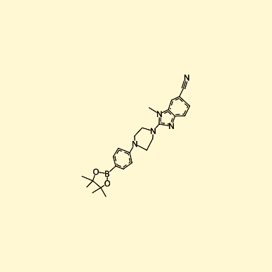 Cn1c(N2CCN(c3ccc(B4OC(C)(C)C(C)(C)O4)cc3)CC2)nc2ccc(C#N)cc21